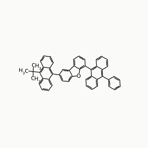 CC(C)(C)c1c2ccccc2c(-c2ccc3oc4c(-c5c6ccccc6c(-c6ccccc6)c6ccccc56)cccc4c3c2)c2ccccc12